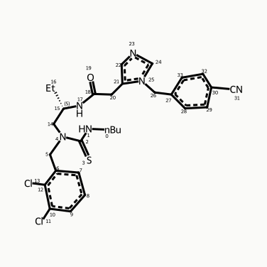 CCCCNC(=S)N(Cc1cccc(Cl)c1Cl)C[C@H](CC)NC(=O)Cc1cncn1Cc1ccc(C#N)cc1